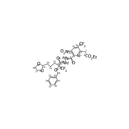 CCOC(=O)Cc1nc(C(=O)NNC(=O)C(CCCC2OCCO2)(OCc2ccccc2)C(F)(F)F)c([N+](=O)[O-])cc1C(F)(F)F